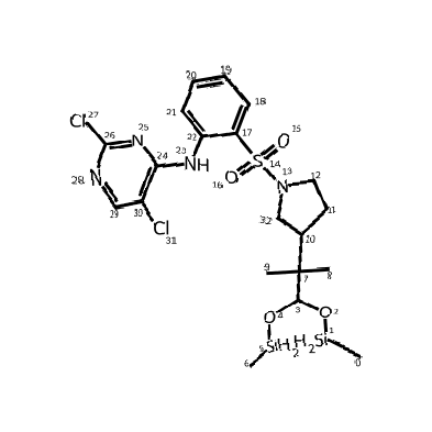 C[SiH2]OC(O[SiH2]C)C(C)(C)C1CCN(S(=O)(=O)c2ccccc2Nc2nc(Cl)ncc2Cl)C1